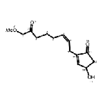 COCC(=O)CCC/C=C\CC1=CC(O)CC1=O